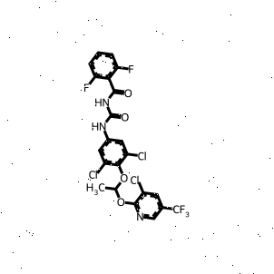 CC(Oc1ncc(C(F)(F)F)cc1Cl)Oc1c(Cl)cc(NC(=O)NC(=O)c2c(F)cccc2F)cc1Cl